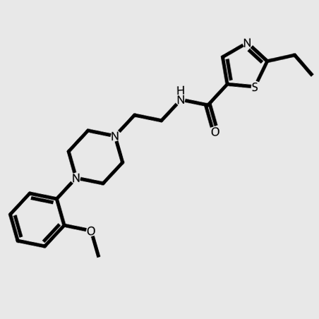 CCc1ncc(C(=O)NCCN2CCN(c3ccccc3OC)CC2)s1